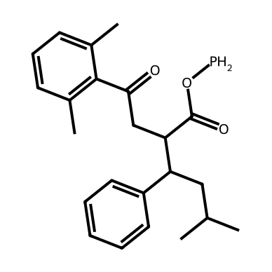 Cc1cccc(C)c1C(=O)CC(C(=O)OP)C(CC(C)C)c1ccccc1